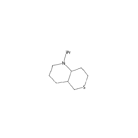 CC(C)N1CCCC2CSCCC21